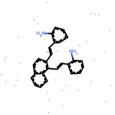 Nc1ccccc1/C=C/c1ccc2ccccc2c1/C=C/c1ccccc1N